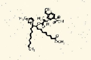 C=C(C)C(=O)OC(CCCCCCCC(=O)OC)C(CCCCCCCC)N1C=CN(C)C1.C=Cc1ccc(S(=O)(=O)O)cc1